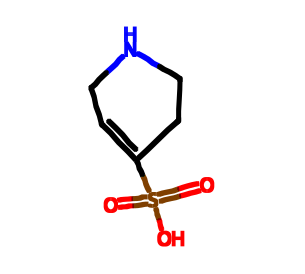 O=S(=O)(O)C1=CCNCC1